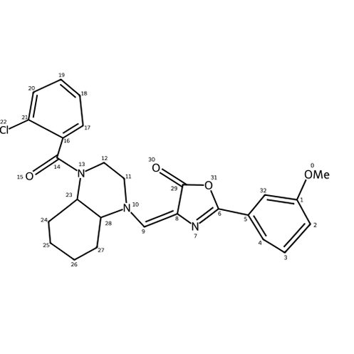 COc1cccc(C2=NC(=CN3CCN(C(=O)c4ccccc4Cl)C4CCCCC43)C(=O)O2)c1